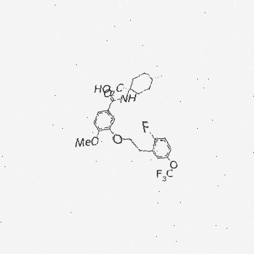 COc1ccc(C(=O)N[C@]2(C(=O)O)CC[C@@H](C)CC2)cc1OCCc1cc(OC(F)(F)F)ccc1F